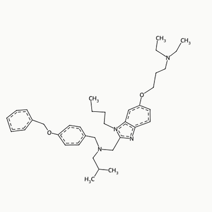 CCCCn1c(CN(Cc2ccc(OCc3ccccc3)cc2)CC(C)C)nc2ccc(OCCCN(CC)CC)cc21